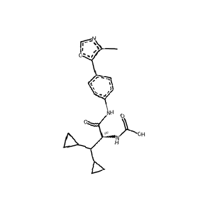 Cc1ncoc1-c1ccc(NC(=O)[C@@H](NC(=O)O)C(C2CC2)C2CC2)cc1